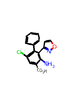 Nc1c(C(=O)O)cc(Cl)c(-c2ccccc2)c1-c1ccon1